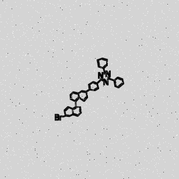 Brc1ccc2c(-c3cccc4cc(-c5ccc(-c6nc(-c7ccccc7)nc(-c7ccccc7)n6)cc5)ccc34)cccc2c1